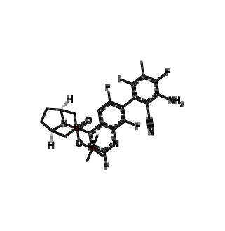 Cc1c(F)c(N)c(C#N)c(-c2c(F)cc3c(N4C[C@H]5CC[C@@H](C4)N5C(=O)OC(C)(C)C)nc(F)nc3c2F)c1I